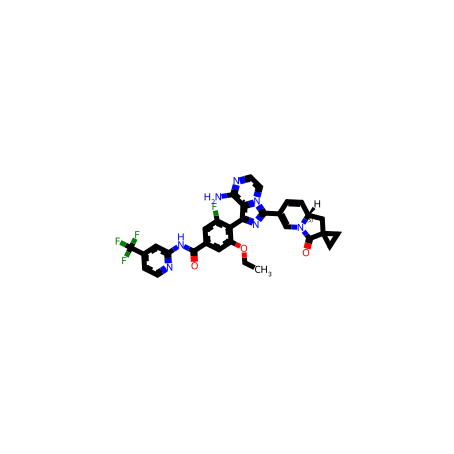 CCOc1cc(C(=O)Nc2cc(C(F)(F)F)ccn2)cc(F)c1-c1nc(C2=CN3C(=O)C4(CC4)C[C@H]3C=C2)n2ccnc(N)c12